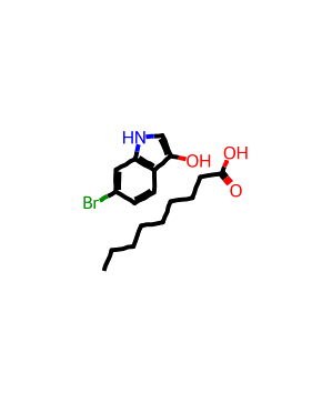 CCCCCCCCC(=O)O.Oc1c[nH]c2cc(Br)ccc12